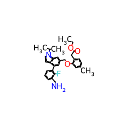 CCOC(=O)Cc1ccc(C)cc1OCc1cc(-c2cccc(CN)c2F)c2ccn(C(C)C)c2c1